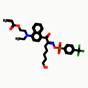 C=CC(=O)OCCN(CC)c1ccc(C(=O)/C(CCCCCO)=N/OS(=O)(=O)c2ccc(C(F)(F)F)cc2)c2ccccc12